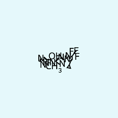 Cc1ncncc1C(O)Nc1cnc(-n2nc(C(F)(F)F)cc2C2CC2)nc1